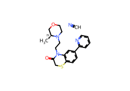 C#N.C[C@H]1COCCN1CCN1C(=O)CSc2ccc(-c3ccccn3)cc21